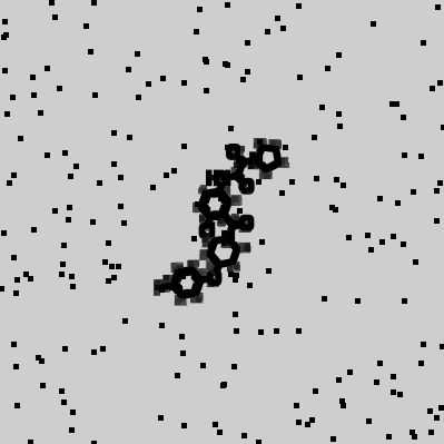 O=C(Nc1ccc(Cl)c(C(=O)N2CCC(Oc3ccc(F)cc3)CC2)c1)C(=O)N1CCCC1